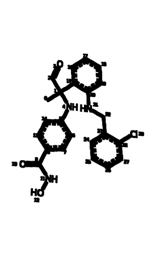 CC(C=O)(Nc1ccc(C(=O)NO)cc1)c1ccccc1NCc1ccccc1Cl